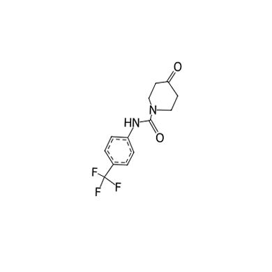 O=C1CCN(C(=O)Nc2ccc(C(F)(F)F)cc2)CC1